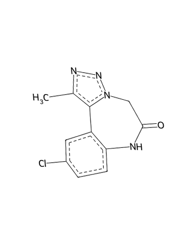 Cc1nnn2c1-c1cc(Cl)ccc1NC(=O)C2